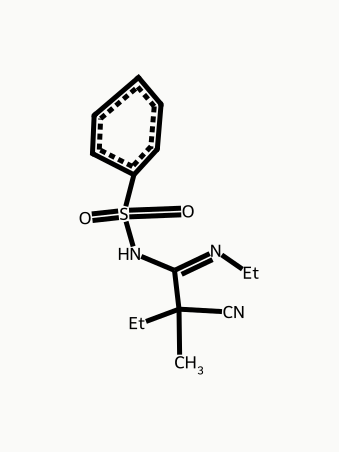 CC/N=C(/NS(=O)(=O)c1ccccc1)C(C)(C#N)CC